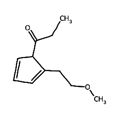 CCC(=O)C1C=CC=C1CCOC